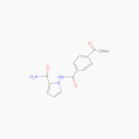 COC(=O)c1ccc(C(=O)Nn2cccc2C(N)=O)cc1